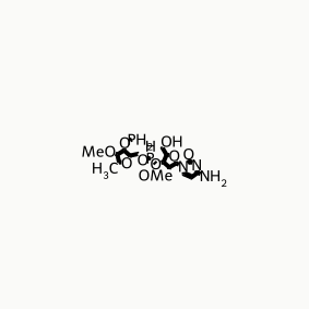 COC1C(C)OC(COPOC2C(CO)OC(n3ccc(N)nc3=O)C2OC)C1OP